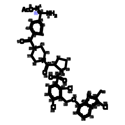 CC(=O)O/N=C(/N)c1ccc(C(=O)N2CCN(C(=O)C3CCCN3S(=O)(=O)c3ccc(Cl)c(COc4cccn5c(Cl)c(C)nc45)c3Cl)CC2)cc1